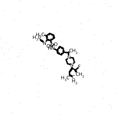 C=C(C)/C=C(\C(=C)F)N1CCN(C(=C)c2ccc(NS(=O)(=O)c3cccc(C)c3/N=C\C)cc2)CC1